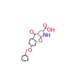 O=C1N[C@H](C(=O)O)C[C@@H]1C(=O)c1ccc(OCc2ccccc2)cc1